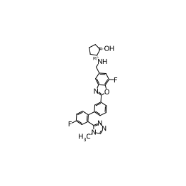 Cn1cnnc1-c1cc(F)ccc1-c1cccc(-c2nc3cc(CN[C@@H]4CCC[C@@H]4O)cc(F)c3o2)c1